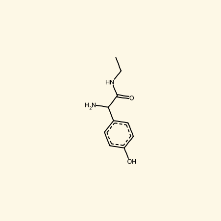 CCNC(=O)C(N)c1ccc(O)cc1